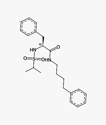 CC(C)S(=O)(=O)N[C@@H](Cc1cc[c]cc1)C(=O)NCCCCc1ccccc1